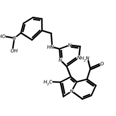 Cc1cn2cccc(C(N)=O)c2c1-c1ncnc(NCc2cccc(B(O)O)c2)n1